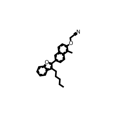 CCCCCc1c(-c2ccc3c(C)c(OCC#N)ccc3c2)oc2ccccc12